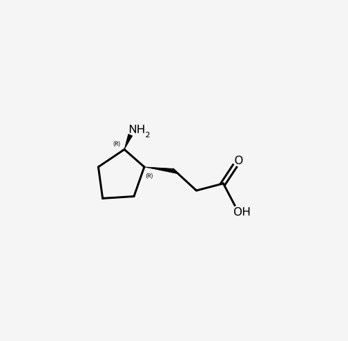 N[C@@H]1CCC[C@@H]1CCC(=O)O